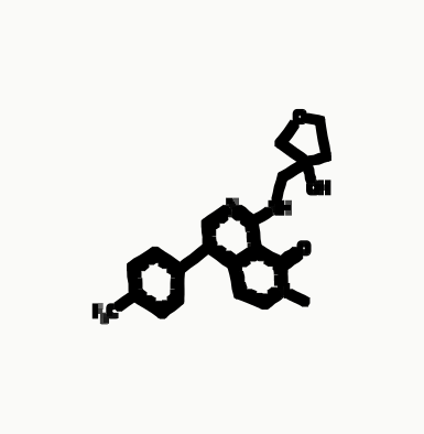 Cn1ccc2c(-c3ccc(C(F)(F)F)cc3)cnc(NCC3(O)CCOC3)c2c1=O